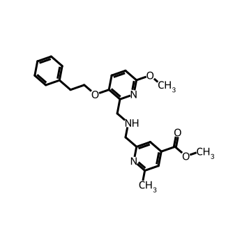 COC(=O)c1cc(C)nc(CNCc2nc(OC)ccc2OCCc2ccccc2)c1